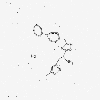 Cl.Cn1cnc(CC(N)c2nc(Cc3ccc(-c4ccccc4)cc3)no2)c1